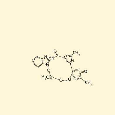 Cc1cc2cc(n1)-c1cc(=O)n(C)cc1OCCC[C@@H](C)Cn1c(nc3ccccc31)NC2=O